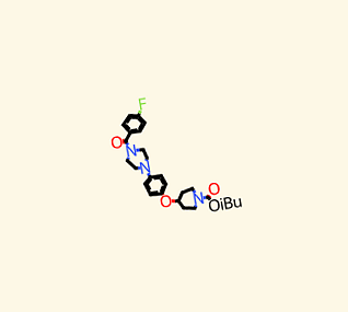 CC(C)COC(=O)N1CCC(Oc2ccc(N3CCN(C(=O)c4ccc(F)cc4)CC3)cc2)CC1